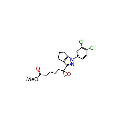 COC(=O)CCCCC1(c2nn(-c3ccc(Cl)c(Cl)c3)c3c2CCC3)CO1